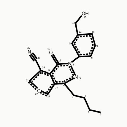 CCCCc1nn(-c2cccc(CO)c2)c(=O)c2c(C#N)cccc12